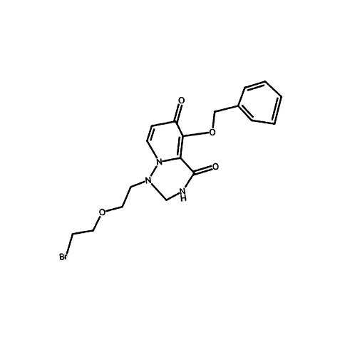 O=C1NCN(CCOCCBr)n2ccc(=O)c(OCc3ccccc3)c21